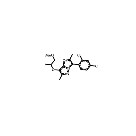 COCC(C)Oc1c(C)nn2c(-c3ccc(Cl)cc3Cl)c(C)oc12